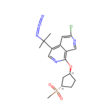 CC(C)(N=[N+]=[N-])c1cnc(O[C@H]2CC[C@H](S(C)(=O)=O)C2)c2cnc(Cl)cc12